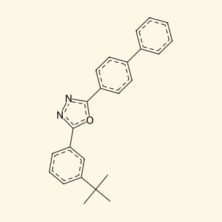 CC(C)(C)c1cccc(-c2nnc(-c3ccc(-c4ccccc4)cc3)o2)c1